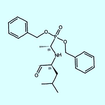 CC(C)C[C@@H]([C]=O)N[C@H](C)P(=O)(OCc1ccccc1)OCc1ccccc1